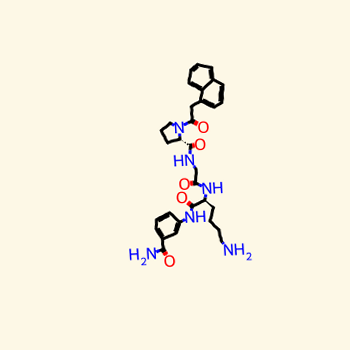 NCCCC[C@H](NC(=O)CNC(=O)[C@@H]1CCCN1C(=O)Cc1cccc2ccccc12)C(=O)Nc1cccc(C(N)=O)c1